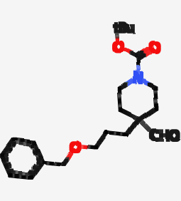 CC(C)(C)OC(=O)N1CCC(C=O)(CCCOCc2ccccc2)CC1